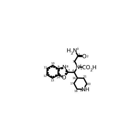 NC(=O)CN(C(=O)O)C(c1nc2ccccc2o1)C1CCNCC1